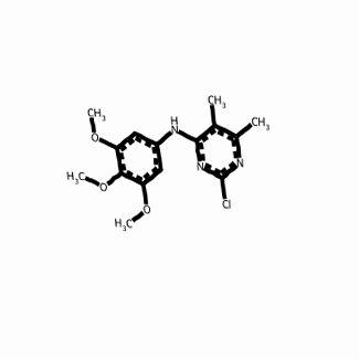 COc1cc(Nc2nc(Cl)nc(C)c2C)cc(OC)c1OC